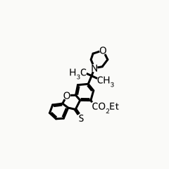 CCOC(=O)c1cc(C(C)(C)N2CCOCC2)cc2oc3ccccc3c(=S)c12